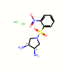 Cl.Cl.N[C@@H]1CN(S(=O)(=O)c2ccccc2[N+](=O)[O-])C[C@@H]1N